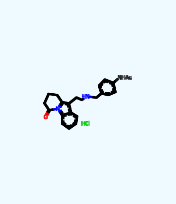 CC(=O)Nc1ccc(CNCCc2c3n(c4ccccc24)C(=O)CCC3)cc1.Cl